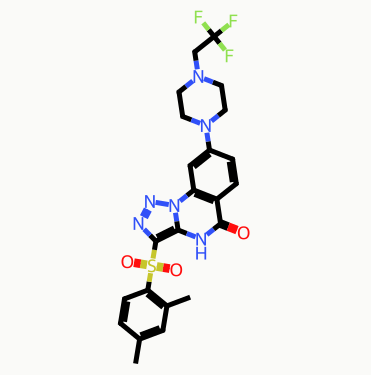 Cc1ccc(S(=O)(=O)c2nnn3c2[nH]c(=O)c2ccc(N4CCN(CC(F)(F)F)CC4)cc23)c(C)c1